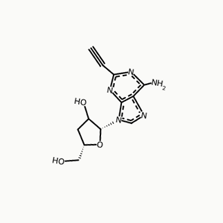 C#Cc1nc(N)c2ncn([C@@H]3O[C@H](CO)CC3O)c2n1